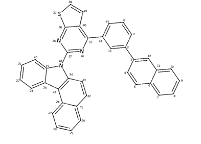 c1cc(-c2ccc3ccccc3c2)cc(-c2nc(-n3c4ccccc4c4c5ccccc5ccc43)nc3sccc23)c1